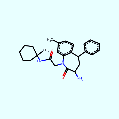 Cc1ccc2c(c1)N(CC(=O)NC1(C)CCCCC1)C(=O)C(N)CC2c1ccccc1